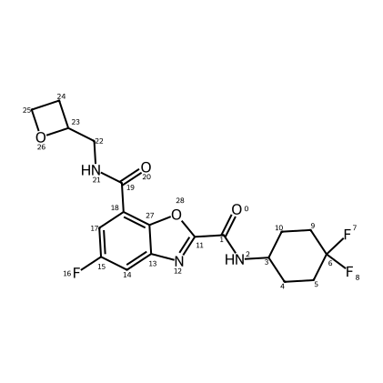 O=C(NC1CCC(F)(F)CC1)c1nc2cc(F)cc(C(=O)NCC3CCO3)c2o1